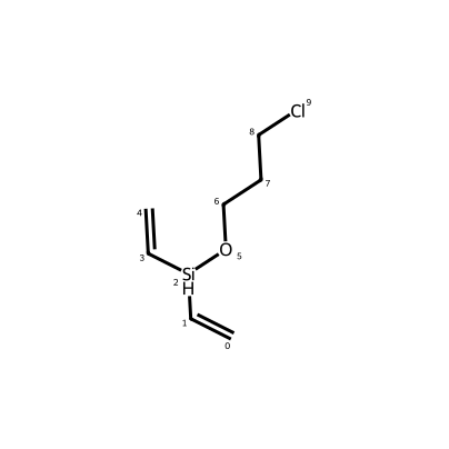 C=C[SiH](C=C)OCCCCl